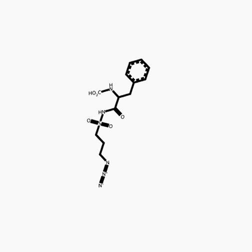 [N-]=[N+]=NCCCS(=O)(=O)NC(=O)C(Cc1ccccc1)NC(=O)O